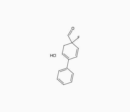 Cl.O=CC1(F)C=CC(c2ccccc2)=CC1